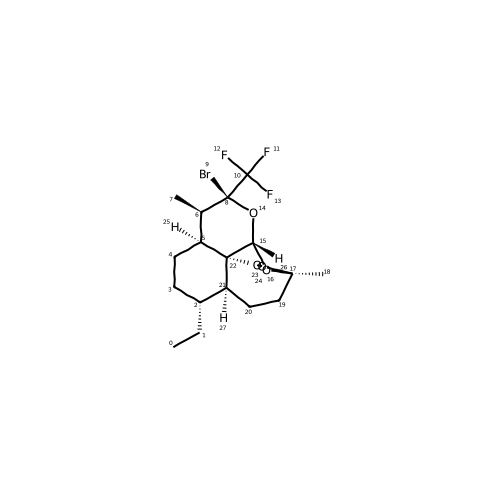 CC[C@@H]1CC[C@H]2[C@@H](C)[C@](Br)(C(F)(F)F)O[C@@H]3O[C@]4(C)CC[C@@H]1[C@]32OO4